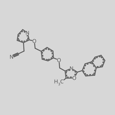 Cc1oc(-c2ccc3ccccc3c2)nc1COc1ccc(COc2ncccc2CC#N)cc1